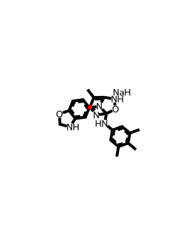 CC1=C2NOC(Nc3cc(C)c(C)c(C)c3)(N=C1)N2c1ccc2c(c1)NCO2.[NaH]